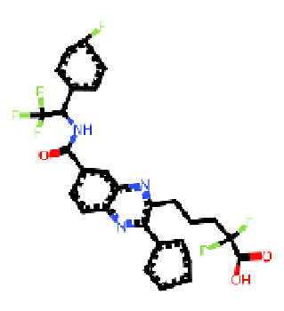 O=C(NC(c1ccc(F)cc1)C(F)(F)F)c1ccc2nc(-c3ccccc3)c(CCCC(F)(F)C(=O)O)nc2c1